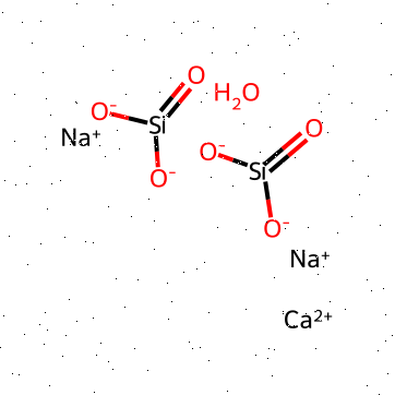 O.O=[Si]([O-])[O-].O=[Si]([O-])[O-].[Ca+2].[Na+].[Na+]